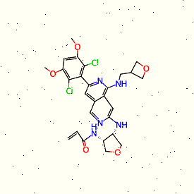 C=CC(=O)N[C@H]1COC[C@H]1Nc1cc2c(NCC3COC3)nc(-c3c(Cl)c(OC)cc(OC)c3Cl)cc2cn1